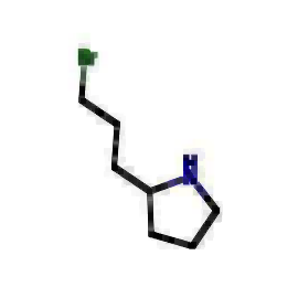 BrCCCC1CCCN1